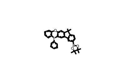 CC1(C)c2ccc(B3OC(C)(C)C(C)(C)O3)cc2-c2cc3c(cc21)Oc1ccccc1P3c1ccccc1